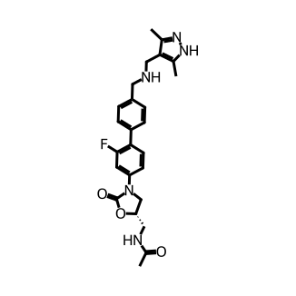 CC(=O)NC[C@H]1CN(c2ccc(-c3ccc(CNCc4c(C)n[nH]c4C)cc3)c(F)c2)C(=O)O1